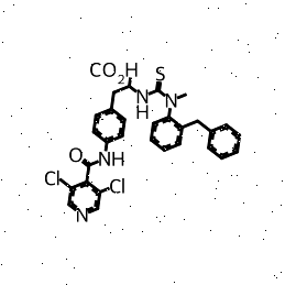 CN(C(=S)NC(Cc1ccc(NC(=O)c2c(Cl)cncc2Cl)cc1)C(=O)O)c1ccccc1Cc1ccccc1